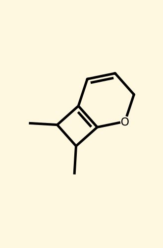 CC1C2=C(OCC=C2)C1C